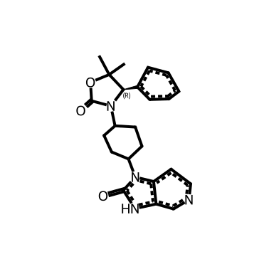 CC1(C)OC(=O)N(C2CCC(n3c(=O)[nH]c4cnccc43)CC2)[C@@H]1c1ccccc1